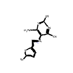 Nc1nc(S)nc(O)c1/N=C/c1ccc(Br)s1